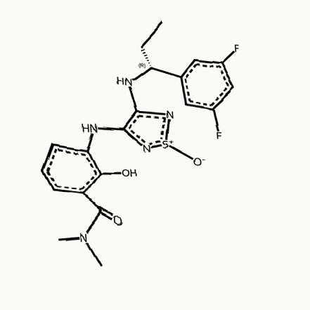 CC[C@@H](Nc1n[s+]([O-])nc1Nc1cccc(C(=O)N(C)C)c1O)c1cc(F)cc(F)c1